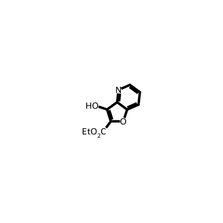 CCOC(=O)c1oc2cccnc2c1O